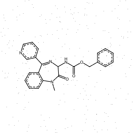 CN1C(=O)C(NC(=O)OCc2ccccc2)N=C(c2cccnc2)c2ccccc21